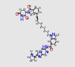 Cc1nn(CCCCCCCC#Cc2cccc3c2CN(C2CCC(=O)NC2=O)C3=O)c2cc(C(=O)Nc3cn4cc([C@H]5CCCN5C)nc4cn3)ccc12